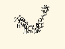 CC(C)(C)c1cc(NC(=O)Nc2ccc(-c3cnc4ccc(OCCCN5CCOCC5)nn34)cc2)no1